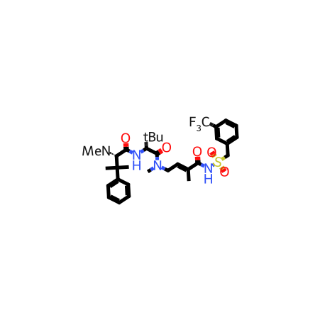 CN[C@H](C(=O)NC(C(=O)N(C)C/C=C(\C)C(=O)NS(=O)(=O)Cc1cccc(C(F)(F)F)c1)C(C)(C)C)C(C)(C)c1ccccc1